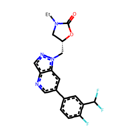 CCN1C[C@@H](Cn2ncc3ncc(-c4ccc(F)c(C(F)F)c4)cc32)OC1=O